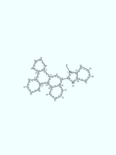 Cn1c(-c2cc3c4ccccc4c4ccccc4c3c3ccccc23)nc2ccccc21